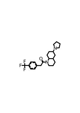 O=C(Cc1ccc(C(F)(F)F)cc1)N1CCCC2CC(N3CCCC3)CCC21